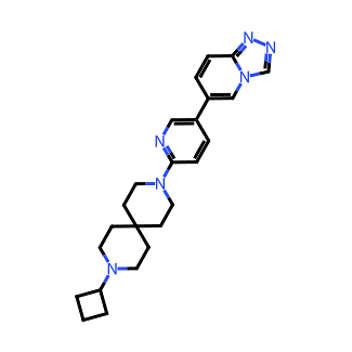 c1cc(N2CCC3(CC2)CCN(C2CCC2)CC3)ncc1-c1ccc2nncn2c1